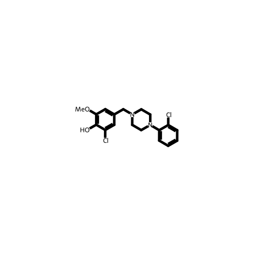 COc1cc(CN2CCN(c3ccccc3Cl)CC2)cc(Cl)c1O